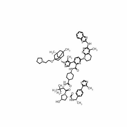 Cc1ncsc1-c1ccc([C@H](C)NC(=O)[C@@H]2C[C@@H](O)CN2C(=O)[C@@H](NC(=O)C2CCC(NC(=O)c3nc(N4CCCc5c4nnc(Nc4nc6ccccc6s4)c5C)ccc3-c3cnn(C[C@]45C[C@]6(C)C[C@](C)(C4)C[C@@](OCCN4CCCC4)(C6)C5)c3C)CC2)C(C)(C)C)cc1